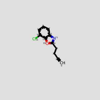 C#CCCc1nc2cccc(Cl)c2o1